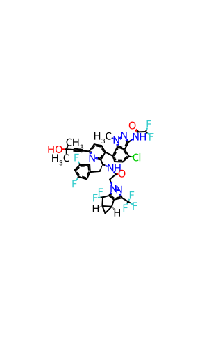 Cn1nc(NC(=O)C(F)F)c2c(Cl)ccc(-c3ccc(C#CC(C)(C)O)nc3[C@H](Cc3cc(F)cc(F)c3)NC(=O)Cn3nc(C(F)(F)F)c4c3C(F)(F)[C@@H]3C[C@H]43)c21